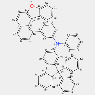 c1ccc(N(c2cccc(-c3cccc4ccc5oc6ccccc6c5c34)c2)c2ccc3c(c2)C(c2ccccc2)(c2ccccc2)c2ccccc2-3)cc1